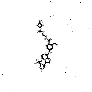 CCc1cc(Nc2nccn3c(-c4c[nH]nc4C(F)(F)F)cnc23)ccc1C(=O)NCCNC(=O)[C@H]1C[C@@H](N)C1